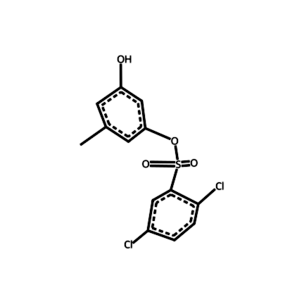 Cc1cc(O)cc(OS(=O)(=O)c2cc(Cl)ccc2Cl)c1